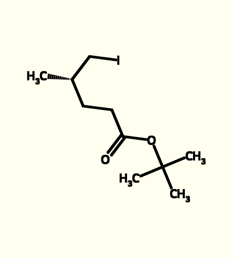 C[C@H](CI)CCC(=O)OC(C)(C)C